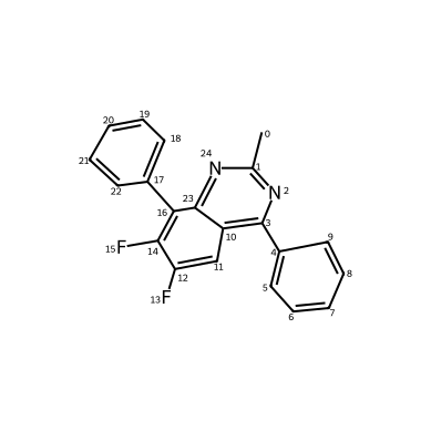 Cc1nc(-c2ccccc2)c2cc(F)c(F)c(-c3ccccc3)c2n1